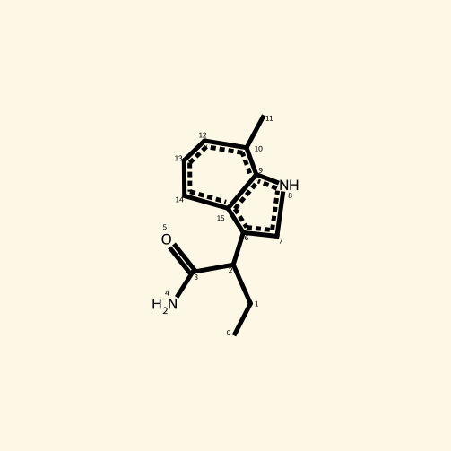 CCC(C(N)=O)c1c[nH]c2c(C)cccc12